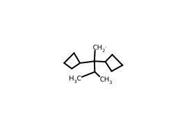 [CH2]C(C(C)C)(C1CCC1)C1CCC1